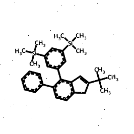 CC(C)(C)C1=Cc2c(ccc(-c3ccccc3)c2-c2cc([Si](C)(C)C)cc([Si](C)(C)C)c2)[CH]1